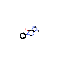 CCn1cnc2c(=O)n(-c3ccccc3)cnc21